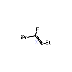 CC/C=C(\F)C(C)C